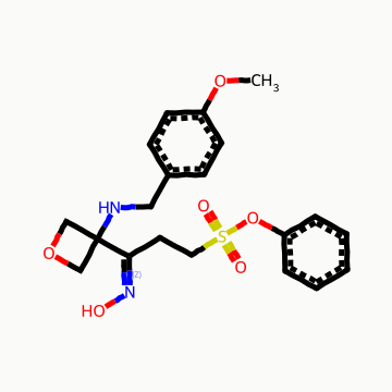 COc1ccc(CNC2(/C(CCS(=O)(=O)Oc3ccccc3)=N\O)COC2)cc1